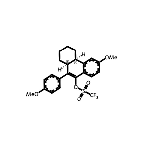 COc1ccc(C2=C(OS(=O)(=O)C(F)(F)F)c3ccc(OC)cc3[C@@H]3CCCC[C@H]23)cc1